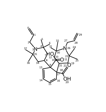 C=CCN1C(C)(C)CC(C2(C(=O)O)C=CC=CC2(C(=O)O)C2CC(C)(C)N(CC=C)C(C)(C)C2)CC1(C)C